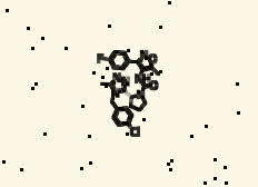 Cc1onc(-c2ccc(F)cc2)c1NC(=O)N1CCC[C@@H]1c1nnc(C)n1Cc1ccc(Cl)cc1